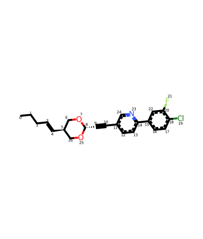 CCCC=C[C@H]1CO[C@H](C#Cc2ccc(-c3ccc(Cl)c(F)c3)nc2)OC1